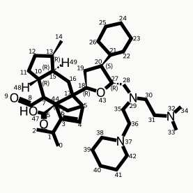 CC(C)C1=CC2CC3(C=O)[C@@H]4CC[C@@H](C)[C@H]4CC2([C@H]2C[C@@H](C4CCCCC4)[C@H](CN(CCN(C)C)CCN4CCCCC4)O2)[C@]13C(=O)O